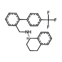 FC(F)(F)c1ccc(-c2ccccc2CN[C@H]2CCCc3ccccc32)cc1